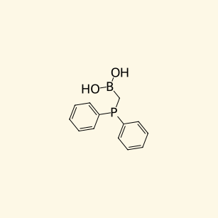 OB(O)CP(c1ccccc1)c1ccccc1